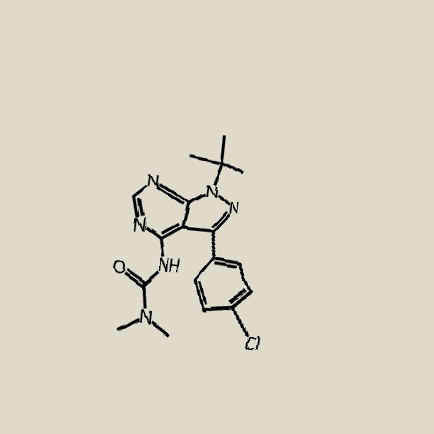 CN(C)C(=O)Nc1ncnc2c1c(-c1ccc(Cl)cc1)nn2C(C)(C)C